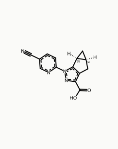 N#Cc1ccc(-n2nc(C(=O)O)c3c2[C@H]2C[C@H]2C3)nc1